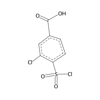 O=C(O)c1ccc(S(=O)(=O)Cl)c(Cl)c1